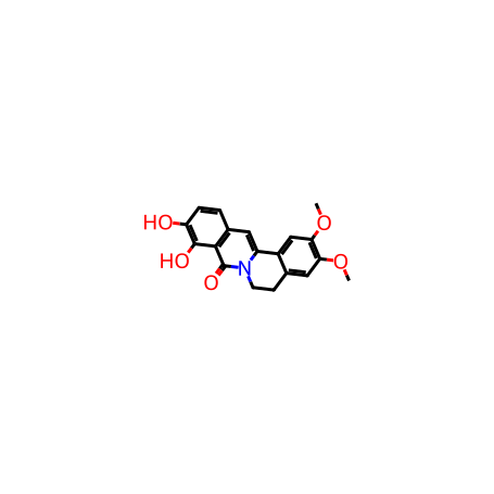 COc1cc2c(cc1OC)-c1cc3ccc(O)c(O)c3c(=O)n1CC2